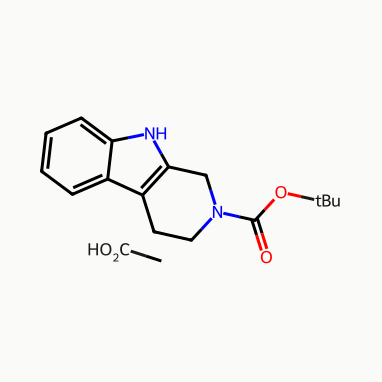 CC(=O)O.CC(C)(C)OC(=O)N1CCc2c([nH]c3ccccc23)C1